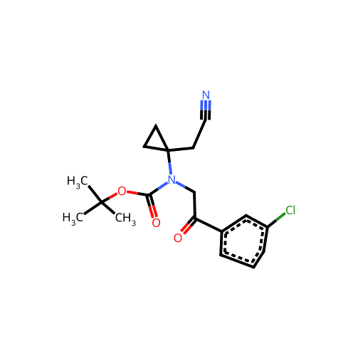 CC(C)(C)OC(=O)N(CC(=O)c1cccc(Cl)c1)C1(CC#N)CC1